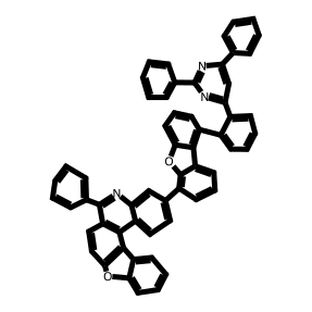 c1ccc(-c2cc(-c3ccccc3-c3cccc4oc5c(-c6ccc7c(c6)nc(-c6ccccc6)c6ccc8oc9ccccc9c8c67)cccc5c34)nc(-c3ccccc3)n2)cc1